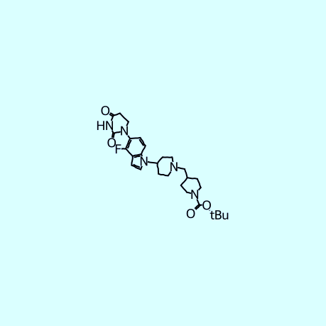 CC(C)(C)OC(=O)N1CCC(CN2CCC(n3ccc4c(F)c(N5CCC(=O)NC5=O)ccc43)CC2)CC1